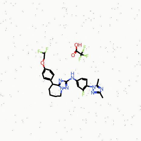 Cc1nc(C)n(-c2ccc(Nc3nc4n(n3)CCCCC4c3ccc(OCC(F)F)cc3)cc2F)n1.O=C(O)C(F)(F)F